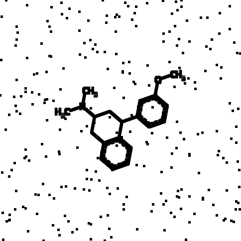 COc1cccc(C2CC(N(C)C)Cc3ccccc32)c1